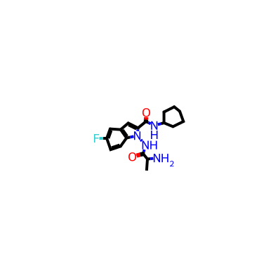 CC(N)C(=O)Nn1c(C(=O)NC2CCCCC2)cc2cc(F)ccc21